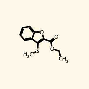 CCOC(=O)c1oc2ccccc2c1SC